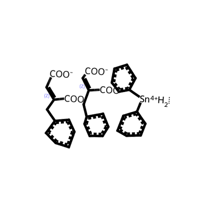 O=C([O-])/C=C(/Cc1ccccc1)C(=O)[O-].O=C([O-])/C=C(/Cc1ccccc1)C(=O)[O-].c1cc[c]([SnH2+4][c]2ccccc2)cc1